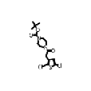 CC(C)(C)OC(=O)N1CCN(C(=O)Cc2cc(Cl)sc2Cl)CC1